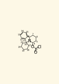 O=C(Cl)OC1CCCCN1C1(c2ccccc2)CCCCC1